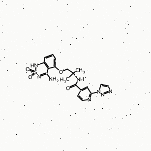 CC(C)(COc1cccc2c1C(N)=NS(=O)(=O)N2)NC(=O)c1ccnc(-n2ccnn2)c1